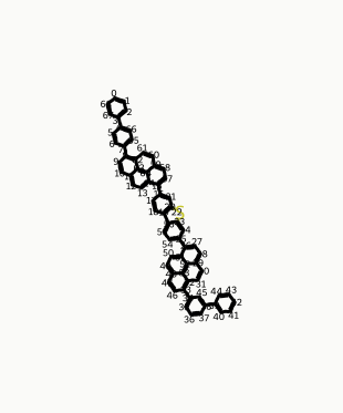 c1ccc(-c2ccc(-c3ccc4ccc5c(-c6ccc7c(c6)sc6cc(-c8ccc9ccc%10c(-c%11cccc(-c%12ccccc%12)c%11)ccc%11ccc8c9c%11%10)ccc67)ccc6ccc3c4c65)cc2)cc1